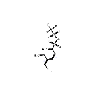 C=CC(/C=C\C(=C)S(=O)(=O)NS(=O)(=O)C(F)(F)F)=C/C